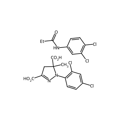 CC1(C(=O)O)CC(C(=O)O)=NN1c1ccc(Cl)cc1Cl.CCC(=O)Nc1ccc(Cl)c(Cl)c1